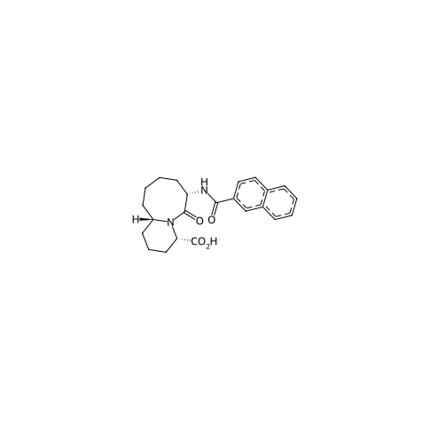 O=C(N[C@H]1CCCC[C@H]2CCC[C@@H](C(=O)O)N2C1=O)c1ccc2ccccc2c1